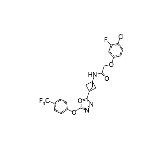 O=C(COc1ccc(Cl)c(F)c1)NC12CC(c3nnc(Oc4ccc(C(F)(F)F)cc4)o3)(C1)C2